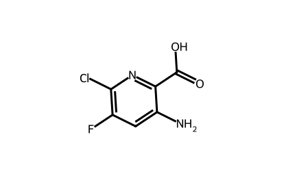 Nc1cc(F)c(Cl)nc1C(=O)O